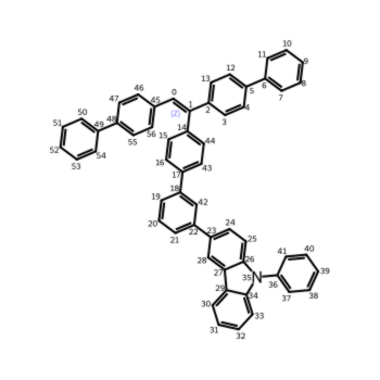 C(=C(\c1ccc(-c2ccccc2)cc1)c1ccc(-c2cccc(-c3ccc4c(c3)c3ccccc3n4-c3ccccc3)c2)cc1)/c1ccc(-c2ccccc2)cc1